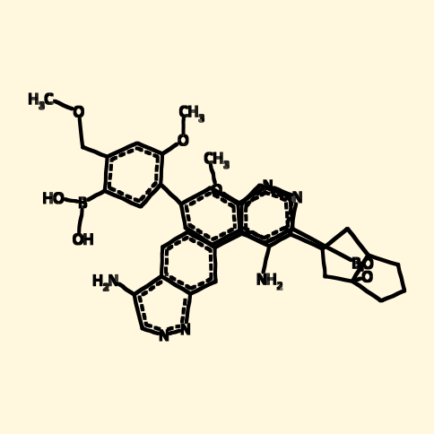 COCc1cc(OC)c(-c2ccc3c(N)c(C4CC56CCCC5(C4)OB(c4ccc(OC)c(-c5ccc7c(N)cnnc7c5)c4)O6)nnc3c2)cc1B(O)O